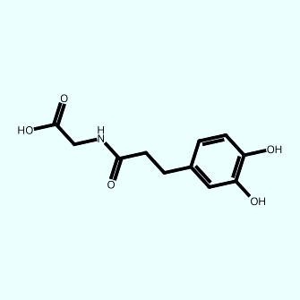 O=C(O)CNC(=O)CCc1ccc(O)c(O)c1